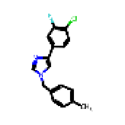 Cc1ccc(Cn2cnc(-c3ccc(Cl)c(F)c3)c2)cc1